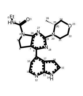 CCNC(=O)N1CCc2c(-c3ccnc4[nH]ccc34)nc(N3CCOC[C@H]3C)nc21